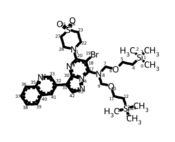 C[Si](C)(C)CCOCN(COCC[Si](C)(C)C)c1c(Br)c(N2CCS(=O)(=O)CC2)nc2c(-c3cnc4ccccc4c3)cnn12